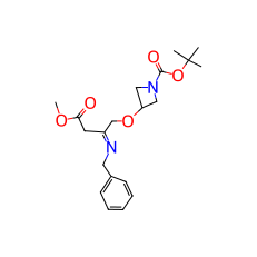 COC(=O)C/C(COC1CN(C(=O)OC(C)(C)C)C1)=N\Cc1ccccc1